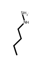 CCCCN[SiH2]